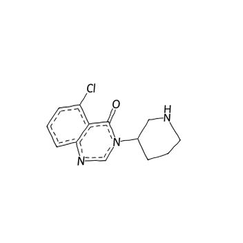 O=c1c2c(Cl)cccc2ncn1C1CCCNC1